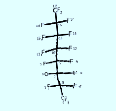 [O]C(F)(C(F)(F)C(F)(F)F)C(F)(F)C(F)(F)C(F)(F)C(F)(F)C(F)(F)F